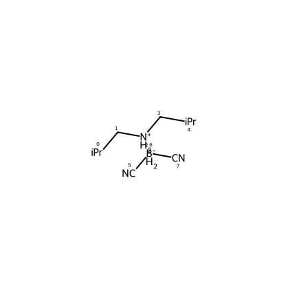 CC(C)C[NH2+]CC(C)C.N#C[BH2-]C#N